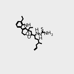 C=CCC(C)CCC(NNC(N)=S)C(=O)CC1(CC)OCCc2c1[nH]c1c(CC)cccc21